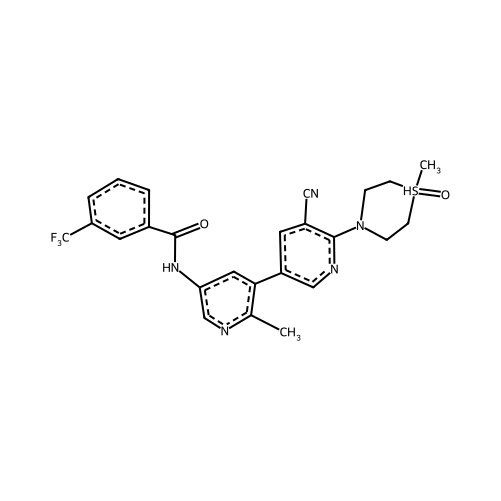 Cc1ncc(NC(=O)c2cccc(C(F)(F)F)c2)cc1-c1cnc(N2CC[SH](C)(=O)CC2)c(C#N)c1